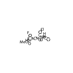 COC(=O)NCC(c1ccc(F)cc1F)N1CCN(C(=O)C(Cc2ccc(Cl)cc2)NC(=O)C2Cc3ccccc3CN2)CC1